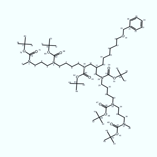 CN(CCCN(CCCCN(CC(CCCCCCOCc1ccccc1)CN(CCCCN(CCCN(C)C(=O)OC(C)(C)C)C(=O)OC(C)(C)C)C(=O)OC(C)(C)C)C(=O)OC(C)(C)C)C(=O)OC(C)(C)C)C(=O)OC(C)(C)C